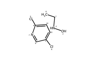 CCNO.Clc1[c]nc(Cl)cc1